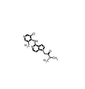 Cc1cncc(Cl)c1Nc1nccc2c1ccn2CC(=O)N(C)C